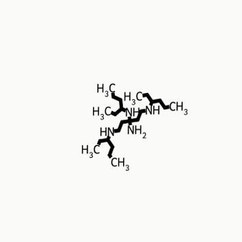 CCCC(CC)NCCC(N)(CCNC(CC)CCC)NC(CC)CCC